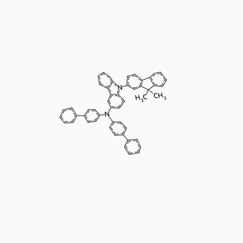 CC1(C)c2ccccc2-c2ccc(-n3c4ccccc4c4cc(N(c5ccc(-c6ccccc6)cc5)c5ccc(-c6ccccc6)cc5)ccc43)cc21